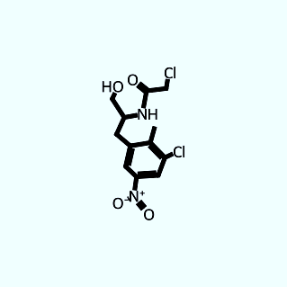 Cc1c(Cl)cc([N+](=O)[O-])cc1CC(CO)NC(=O)CCl